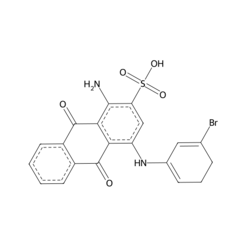 Nc1c(S(=O)(=O)O)cc(NC2=CCCC(Br)=C2)c2c1C(=O)c1ccccc1C2=O